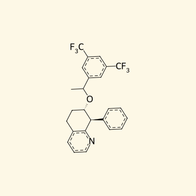 CC(O[C@H]1CCc2cccnc2[C@@H]1c1ccccc1)c1cc(C(F)(F)F)cc(C(F)(F)F)c1